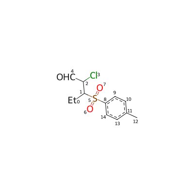 CCC(C(Cl)C=O)S(=O)(=O)c1ccc(C)cc1